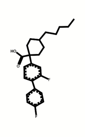 CCCCCC1CCC(C(=O)O)(c2ccc(-c3ccc(F)cc3)c(F)c2)CC1